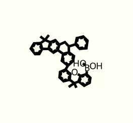 CC1(C)c2ccccc2-c2cc3c(cc21)CC(c1ccccc1)c1ccc(-c2cccc4c2Oc2c(B(O)O)cccc2C4(C)C)cc1-3